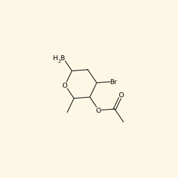 BC1CC(Br)C(OC(C)=O)C(C)O1